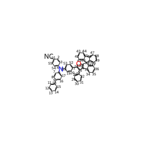 N#Cc1ccc(N(c2ccc(-c3ccccc3)cc2)c2ccc(-c3oc4c(c3-c3ccccc3)-c3ccccc3C43c4ccccc4-c4ccccc43)cc2)cc1